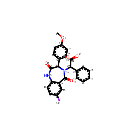 COc1ccc(C2C(=O)Nc3ccc(I)cc3C(=O)N2C(C(=O)O)c2ccccc2)cc1